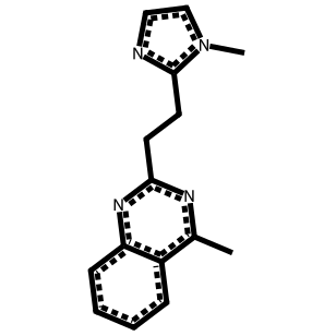 Cc1nc(CCc2nccn2C)nc2ccccc12